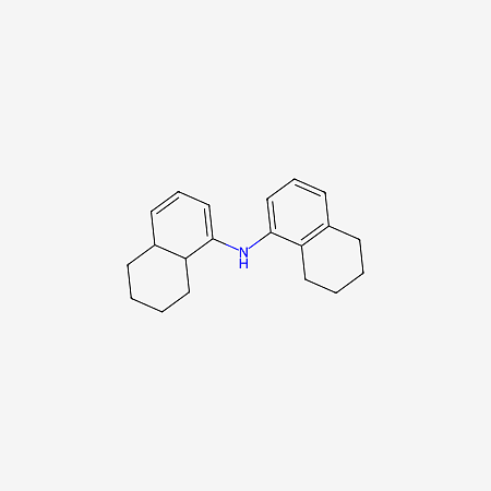 C1=CC2CCCCC2C(Nc2cccc3c2CCCC3)=C1